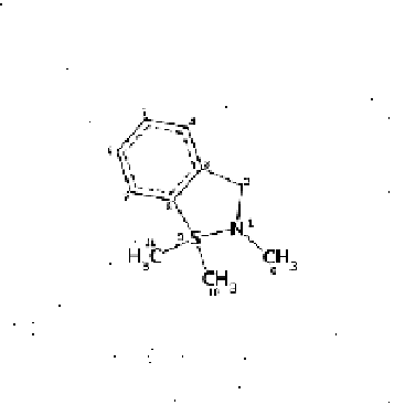 CN1Cc2ccccc2S1(C)C